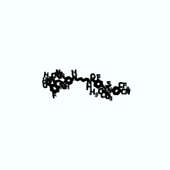 Cn1ncnc1[C@H]1c2n[nH]c(=O)c3cc(F)cc(c23)N[C@@H]1c1ccc(NCCCCNC(=O)c2ccc(N3C(=S)N(c4ccc(C#N)c(C(F)(F)F)c4)C(=O)C3(C)C)cc2F)cc1